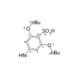 CCCCOc1cc([NH])cc(OCCCC)c1S(=O)(=O)O